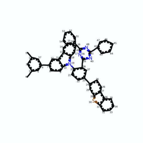 Cc1cc(C)cc(-c2ccc3c(c2)c2ccccc2n3-c2ccc(-c3ccc4c(c3)sc3ccccc34)cc2-c2nc(-c3ccccc3)nc(-c3ccccc3)n2)c1